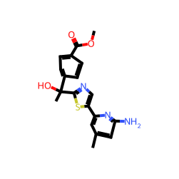 COC(=O)c1ccc(C(C)(O)c2ncc(-c3cc(C)cc(N)n3)s2)cc1